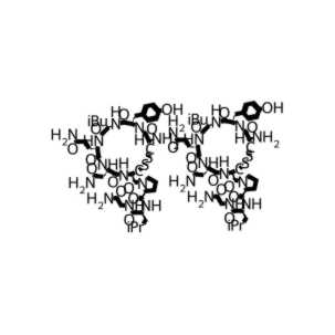 CC[C@H](C)[C@@H]1NC(=O)[C@H](Cc2ccc(O)cc2)NC(=O)[C@@H](N)CSSC[C@@H](C(=O)N2CCC[C@H]2C(=O)N[C@@H](CC(C)C)C(=O)NCC(N)=O)NC(=O)[C@H](CC(N)=O)NC(=O)[C@H](CCC(N)=O)NC1=O.CC[C@H](C)[C@@H]1NC(=O)[C@H](Cc2ccc(O)cc2)NC(=O)[C@@H](N)CSSC[C@@H](C(=O)N2CCC[C@H]2C(=O)N[C@@H](CC(C)C)C(=O)NCC(N)=O)NC(=O)[C@H](CC(N)=O)NC(=O)[C@H](CCC(N)=O)NC1=O